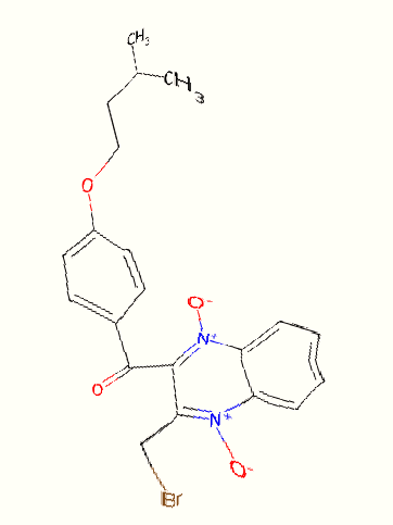 CC(C)CCOc1ccc(C(=O)c2c(CBr)[n+]([O-])c3ccccc3[n+]2[O-])cc1